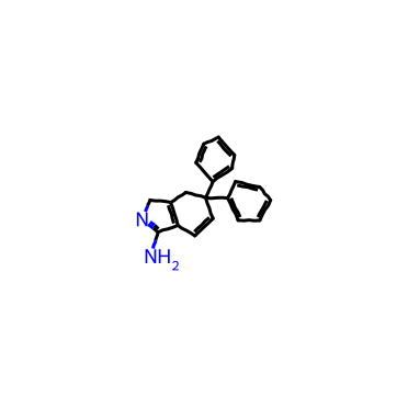 NC1=NCC2=C1C=CC(c1ccccc1)(c1ccccc1)C2